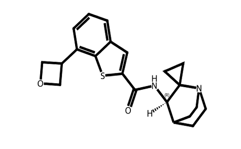 O=C(N[C@@H]1C2CCN(CC2)C12CC2)c1cc2cccc(C3COC3)c2s1